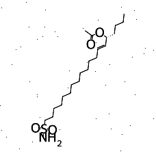 CCCC[C@H](C=CCCCCCCCCCCCCS(N)(=O)=O)OC(C)=O